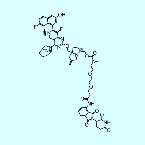 C#Cc1c(F)ccc2cc(O)cc(-c3ncc4c(N5CC6CCC(C5)N6)nc(OC[C@@]56CC[C@@H](COC(=O)N(C)CCOCCOCCC(=O)Nc7cccc8c7C(=O)N(C7CCC(=O)NC7=O)C8=O)N5CC(=C)C6)nc4c3F)c12